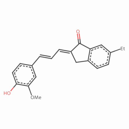 CCc1ccc2c(c1)C(=O)/C(=C/C=C/c1ccc(O)c(OC)c1)C2